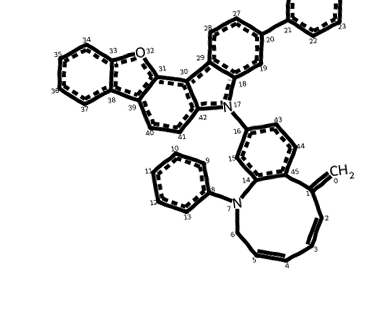 C=C1/C=C\C=C/CN(c2ccccc2)c2cc(-n3c4cc(-c5ccccc5)ccc4c4c5oc6ccccc6c5ccc43)ccc21